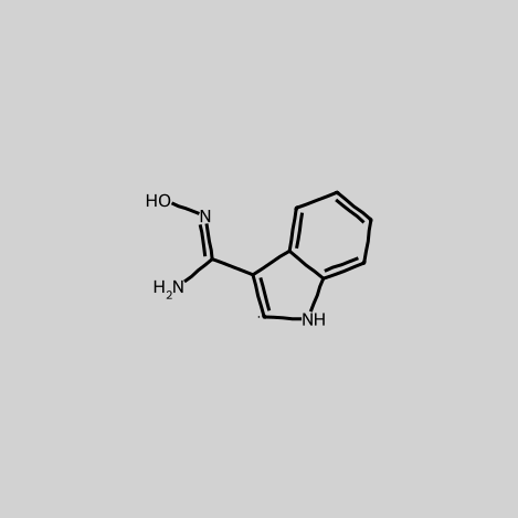 NC(=NO)c1[c][nH]c2ccccc12